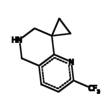 FC(F)(F)c1ccc2c(n1)C1(CC1)CNC2